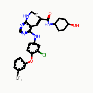 O=C(NC1CCC(O)CC1)C1=Cc2c(ncnc2Nc2ccc(Oc3cccc(C(F)(F)F)c3)c(Cl)c2)NCC1